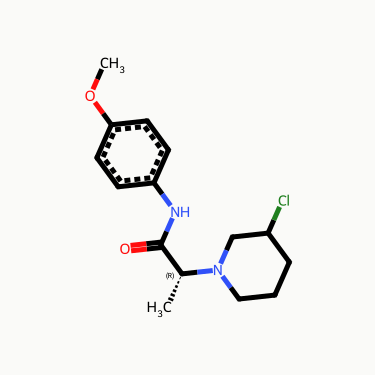 COc1ccc(NC(=O)[C@@H](C)N2CCCC(Cl)C2)cc1